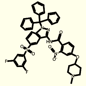 CN1CCC(Oc2ccc(C(=O)Nc3nn(C(c4ccccc4)(c4ccccc4)c4ccccc4)c4ccc(S(=O)(=O)c5cc(F)cc(F)c5)cc34)c([N+](=O)[O-])c2)CC1